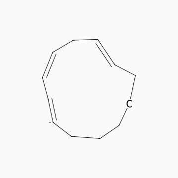 [C]1=C/C=C\C/C=C/CCCCC/1